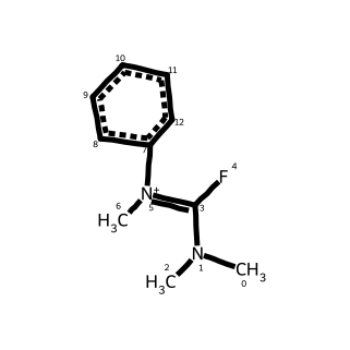 CN(C)C(F)=[N+](C)c1ccccc1